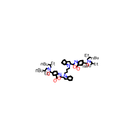 CCCCC(CC)CN(CC(CC)CCCC)C(=O)c1ccc2nc(-c3cc4ccccc4n3CCCCN3c4ccccc4CC3c3nc4ccc(C(=O)N(CC(CC)CCCC)CC(CC)CCCC)cc4c(=O)o3)oc(=O)c2c1